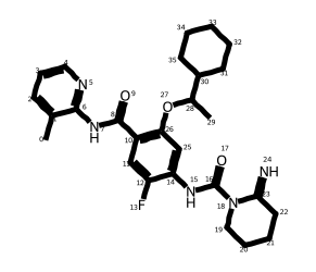 Cc1cccnc1NC(=O)c1cc(F)c(NC(=O)N2CCCCC2=N)cc1OC(C)C1CCCCC1